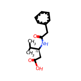 CC(C)[C@H](CC(=O)O)NC(=O)Cc1ccccc1